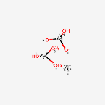 O[As](O)O.[K+].[Na+].[O-][As]([O-])O